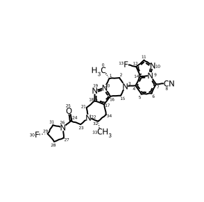 C[C@@H]1CN(c2ccc(C#N)n3ncc(F)c23)Cc2c3c(nn21)CN(CC(=O)N1CC[C@H](F)C1)[C@@H](C)C3